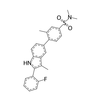 Cc1cc(S(=O)(=O)N(C)C)ccc1-c1ccc2[nH]c(-c3ccccc3F)c(C)c2c1